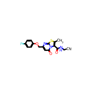 Cc1sc2nc(COc3ccc(F)cc3)cc(=O)n2c1C(=O)NCC#N